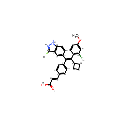 COc1ccc(C(=C(c2ccc(C=CC(=O)O)cc2)c2ccc3[nH]nc(F)c3c2)C2CCC2)c(Cl)c1